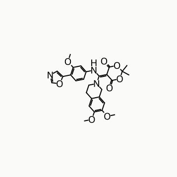 COc1cc2c(cc1OC)CN(C(Nc1ccc(-c3cnco3)c(OC)c1)=C1C(=O)OC(C)(C)OC1=O)CC2